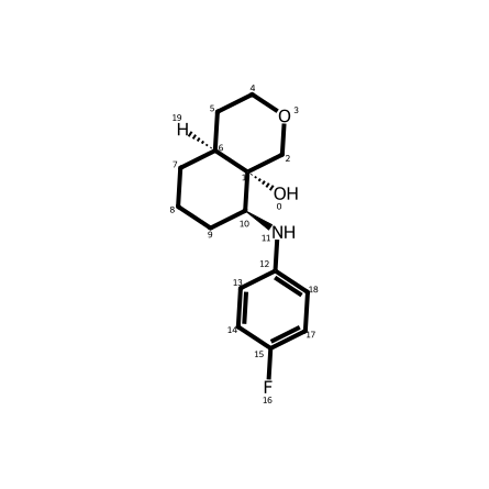 O[C@@]12COCC[C@@H]1CCC[C@@H]2Nc1ccc(F)cc1